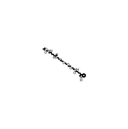 CC(C)(C)OC(=O)NCCCCCC(=O)NCCOCCOCCOCCOCCNC(=O)CCCc1c[nH]c2ccccc12